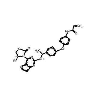 C=CC(=O)Nc1ccc(Nc2ccc(C(C)Nc3nc(N4C(=O)OC[C@@H]4C(C)C)c4sccc4n3)cc2)cc1